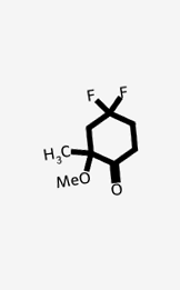 COC1(C)CC(F)(F)CCC1=O